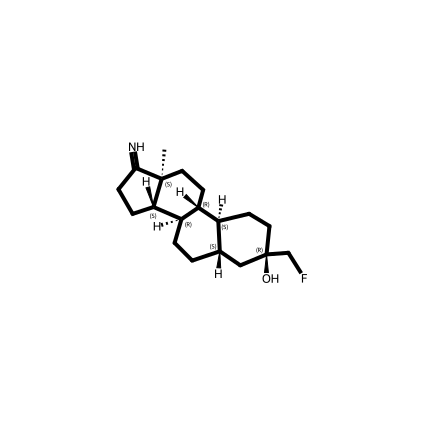 C[C@]12CC[C@H]3[C@@H](CC[C@H]4C[C@@](O)(CF)CC[C@@H]43)[C@@H]1CCC2=N